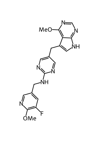 COc1ncc(CNc2ncc(Cc3c[nH]c4ncnc(OC)c34)cn2)cc1F